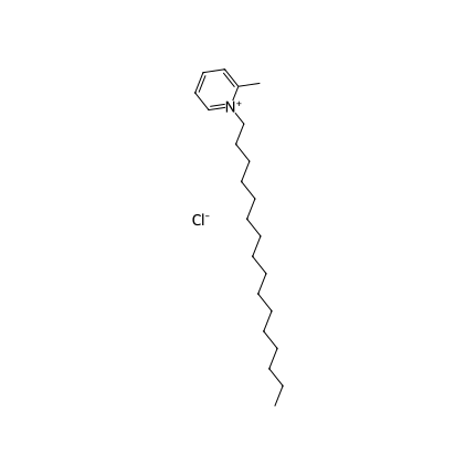 CCCCCCCCCCCCCCCC[n+]1ccccc1C.[Cl-]